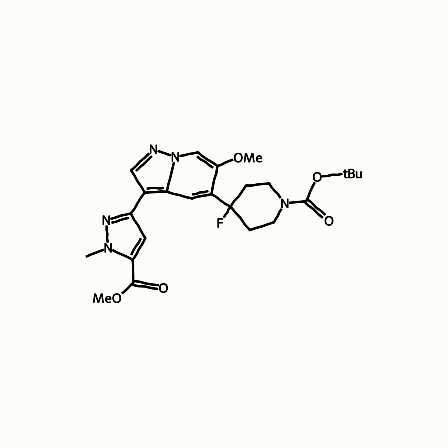 COC(=O)c1cc(-c2cnn3cc(OC)c(C4(F)CCN(C(=O)OC(C)(C)C)CC4)cc23)nn1C